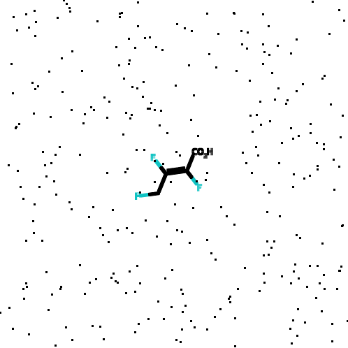 O=C(O)C(F)=C(F)CF